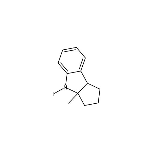 CC12CCCC1c1ccccc1N2I